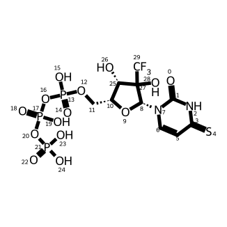 O=c1[nH]c(=S)ccn1[C@@H]1O[C@H](COP(=O)(O)OP(=O)(O)OP(=O)(O)O)[C@H](O)C1(O)C(F)(F)F